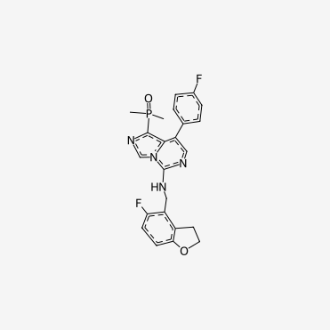 CP(C)(=O)c1ncn2c(NCc3c(F)ccc4c3CCO4)ncc(-c3ccc(F)cc3)c12